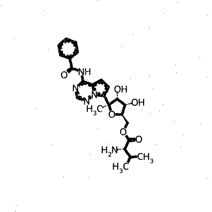 CC(C)[C@H](N)C(=O)OC[C@H]1O[C@@](C)(c2ccc3c(NC(=O)c4ccccc4)ncnn23)[C@H](O)[C@@H]1O